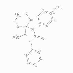 COCC1(N(C(=O)Cc2ccccc2)c2ccc(C)cc2)CCNCC1